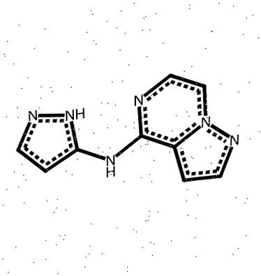 c1cc(Nc2nccn3nccc23)[nH]n1